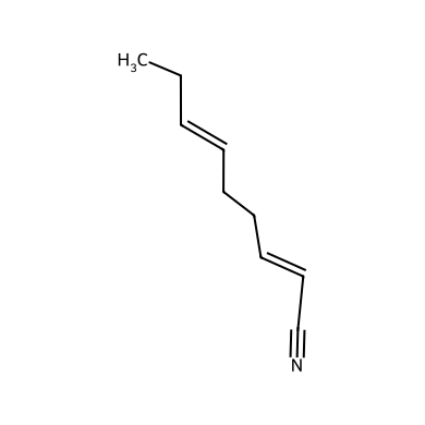 CCC=CCCC=CC#N